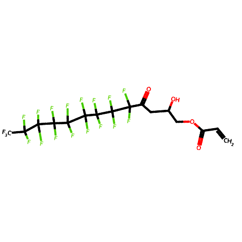 C=CC(=O)OCC(O)CC(=O)C(F)(F)C(F)(F)C(F)(F)C(F)(F)C(F)(F)C(F)(F)C(F)(F)C(F)(F)C(F)(F)F